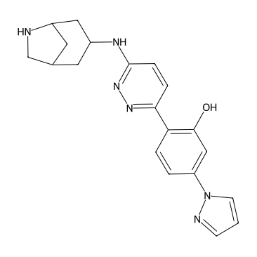 Oc1cc(-n2cccn2)ccc1-c1ccc(NC2CC3CNC(C3)C2)nn1